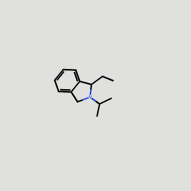 CCC1c2ccccc2CN1C(C)C